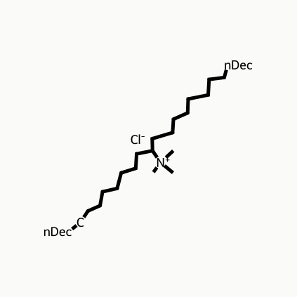 CCCCCCCCCCCCCCCCCCC(CCCCCCCCCCCCCCCCCC)[N+](C)(C)C.[Cl-]